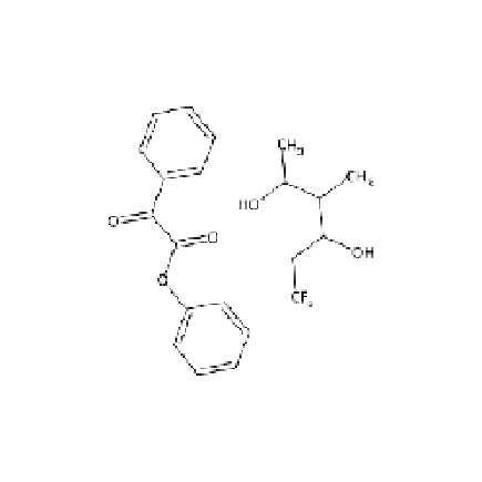 CC(O)C(C)C(O)CC(F)(F)F.O=C(Oc1ccccc1)C(=O)c1ccccc1